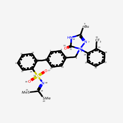 CCCCC1=N[N+](Cc2ccc(-c3ccccc3S(=O)(=O)N=C(SC)SC)cc2)(c2ccccc2C(F)(F)F)C(=O)N1